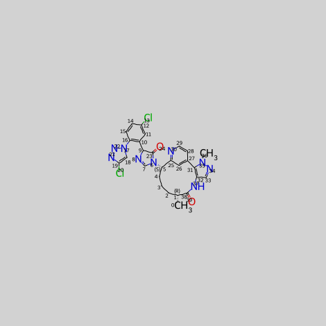 C[C@@H]1CCC[C@H](N2C=NC(c3cc(Cl)ccc3-n3cc(Cl)nn3)C2=O)c2cc(ccn2)-c2c(cnn2C)NC1=O